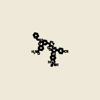 CC(C)C[C@H](NC(=O)C(Cc1ccc(CP(=O)(O)O)cc1)NC(=O)c1ccc(C#N)cc1)C(=O)Cc1ccc(C(=O)NCc2ccccc2)c(-c2ccc(C(N)=O)cc2)c1